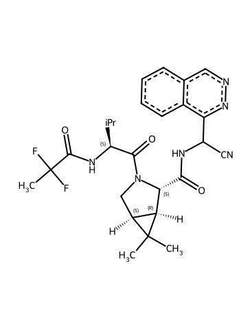 CC(C)[C@H](NC(=O)C(C)(F)F)C(=O)N1C[C@H]2[C@@H]([C@H]1C(=O)NC(C#N)c1nncc3ccccc13)C2(C)C